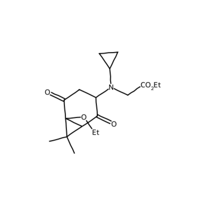 CCOC(=O)CN(C1CC1)C1CC(=O)C2(OCC)C(C1=O)C2(C)C